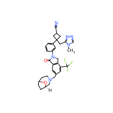 Cn1cnnc1CC1(c2cccc(N3Cc4c(cc(CN5CCC6CC[C@H](C5)O6)cc4C(F)(F)F)C3=O)c2)CC(C#N)C1